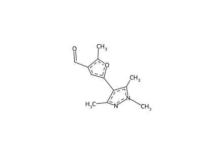 Cc1nn(C)c(C)c1-c1cc(C=O)c(C)o1